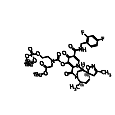 CC1=NO[C@@]2(CC[C@H](C)N3C[C@H]2n2cc(C(=O)NCc4ccc(F)cc4F)c(=O)c(OC(=O)N(CCOP(=O)(OC(C)(C)C)OC(C)(C)C)CC(=O)OC(C)(C)C)c2C3=O)C1